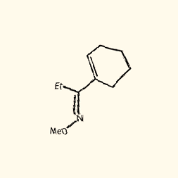 CCC(=NOC)C1=CCCCC1